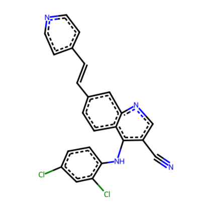 N#Cc1cnc2cc(C=Cc3ccncc3)ccc2c1Nc1ccc(Cl)cc1Cl